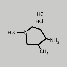 CC1CN(C)CCC1N.Cl.Cl